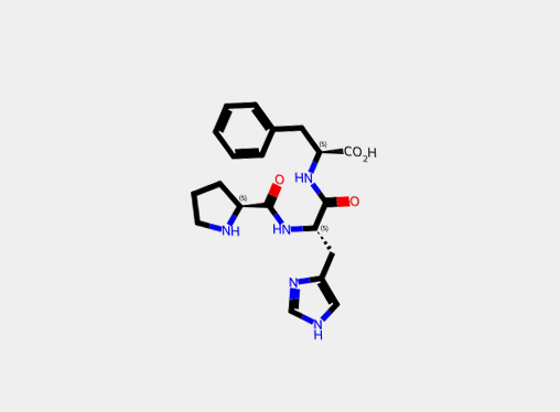 O=C(O)[C@H](Cc1ccccc1)NC(=O)[C@H](Cc1c[nH]cn1)NC(=O)[C@@H]1CCCN1